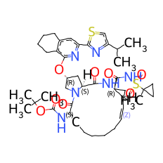 CC(C)c1csc(-c2cc3c(c(O[C@@H]4C[C@H]5C(=O)N[C@]6(C(=O)NS(=O)(=O)C7(C)CC7)C[C@H]6/C=C\CCCCC[C@H](NC(=O)OC(C)(C)C)C(=O)N5C4)n2)CCCC3)n1